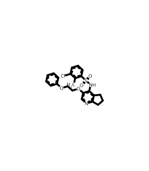 Cc1c(Cl)cccc1S(=O)(=O)Nc1c(OCCOc2ccccc2)cnc2c1CCC2